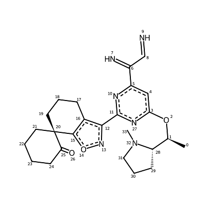 C[C@H](Oc1cc(C(=N)C=N)nc(-c2noc3c2CCC[C@@]32CCCCC2=O)n1)[C@@H]1CCCN1C